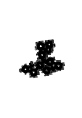 CC1(C)c2ccccc2-c2cccc(-c3ccc(N(c4ccc5c(c4)C(C)(c4ccccc4)c4ccccc4-5)c4ccc5c(c4)C4(CCc6ccccc64)c4ccccc4-5)cc3)c21